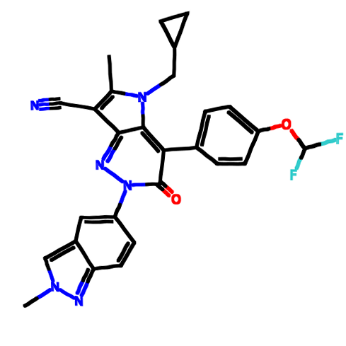 Cc1c(C#N)c2nn(-c3ccc4nn(C)cc4c3)c(=O)c(-c3ccc(OC(F)F)cc3)c2n1CC1CC1